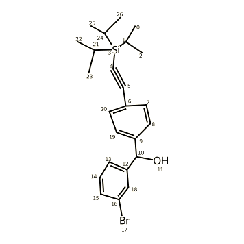 CC(C)[Si](C#Cc1ccc(C(O)c2cccc(Br)c2)cc1)(C(C)C)C(C)C